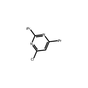 CC(C)c1cc(Cl)nc(C(C)C)n1